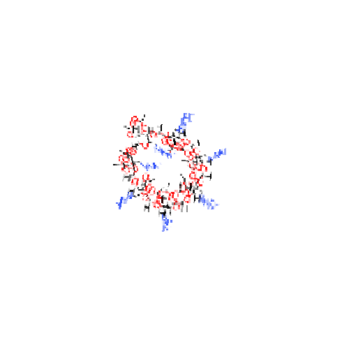 CC(=O)OC1[C@@H]2OC(CN=[N+]=[N-])[C@@H](O[C@H]3OC(CN=[N+]=[N-])[C@@H](O[C@H]4OC(CN=[N+]=[N-])[C@H](O[C@@H]5OC(CN=[N+]=[N-])[C@@H](O[C@@H]6OC(CN=[N+]=[N-])[C@@H](O[C@@H]7OC(CN=[N+]=[N-])[C@@H](O[C@H]8OC(CN=[N+]=[N-])[C@@H](O2)[C@H](OC(C)=O)C8OC(C)=O)[C@@H](OC(C)=O)C7OC(C)=O)[C@@H](OC(C)=O)C6OC(C)=O)[C@@H](OC(C)=O)C5OC(C)=O)[C@H](OC(C)=O)C4OC(C)=O)[C@H](OC(C)=O)C3OC(C)=O)[C@@H]1OC(C)=O